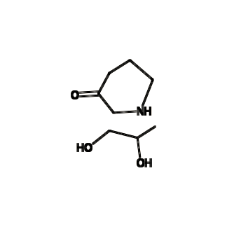 CC(O)CO.O=C1CCCNC1